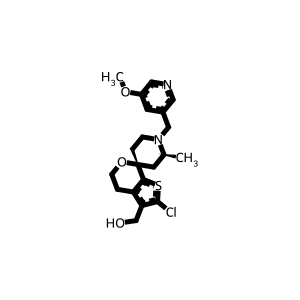 COc1cncc(CN2CC[C@]3(C[C@@H]2C)OCCc2c3sc(Cl)c2CO)c1